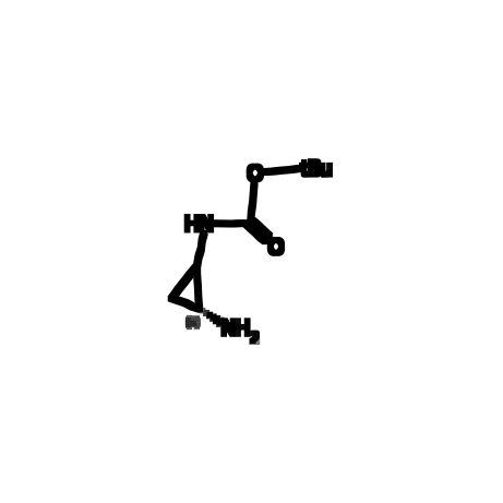 CC(C)(C)OC(=O)NC1C[C@H]1N